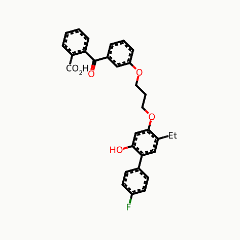 CCc1cc(-c2ccc(F)cc2)c(O)cc1OCCCOc1cccc(C(=O)c2ccccc2C(=O)O)c1